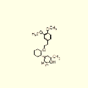 CCN(C[C@H](C)O)[C@@H]1CCCC[C@@H]1OCCc1ccc(OC)c(OC)c1